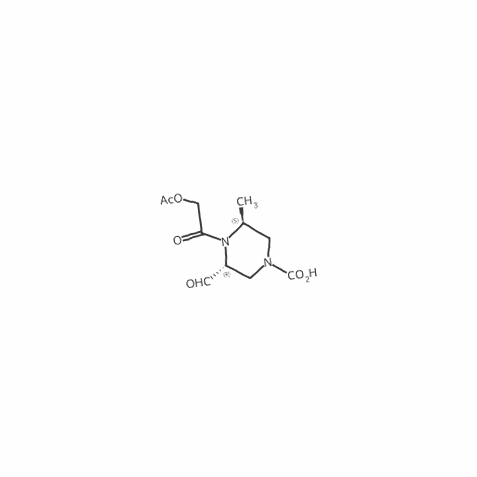 CC(=O)OCC(=O)N1[C@@H](C)CN(C(=O)O)C[C@@H]1C=O